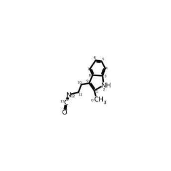 Cc1[nH]c2ccccc2c1CCN=C=O